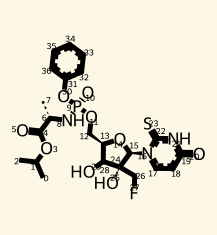 CC(C)OC(=O)[C@H](C)NP(=O)(OC[C@H]1O[C@@H](n2ccc(=O)[nH]c2=S)[C@@](O)(CF)C1O)Oc1ccccc1